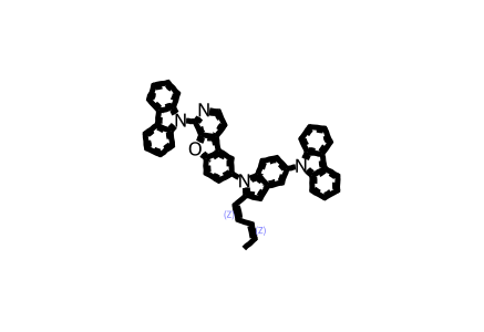 C/C=C\C=C/c1cc2cc(-n3c4ccccc4c4ccccc43)ccc2n1-c1ccc2oc3c(-n4c5ccccc5c5ccccc54)nccc3c2c1